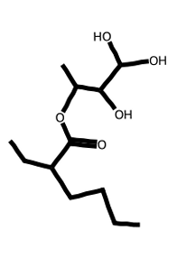 CCCCC(CC)C(=O)OC(C)C(O)C(O)O